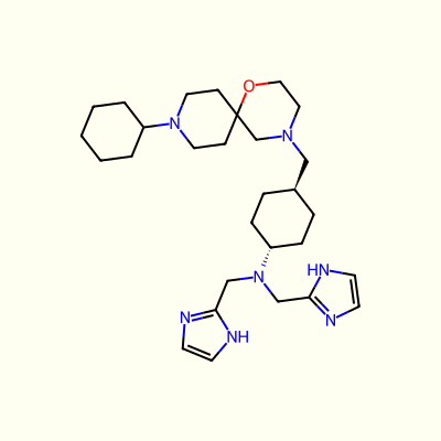 c1c[nH]c(CN(Cc2ncc[nH]2)[C@H]2CC[C@H](CN3CCOC4(CCN(C5CCCCC5)CC4)C3)CC2)n1